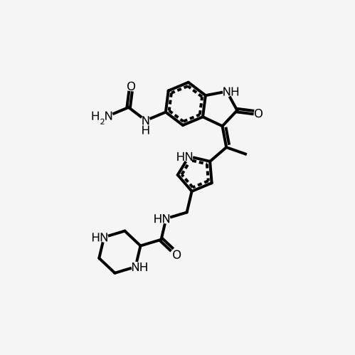 C/C(=C1\C(=O)Nc2ccc(NC(N)=O)cc21)c1cc(CNC(=O)C2CNCCN2)c[nH]1